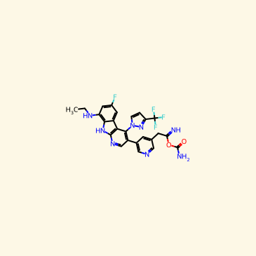 CCNc1cc(F)cc2c1[nH]c1ncc(-c3cncc(CC(=N)OC(N)=O)c3)c(-n3ccc(C(F)(F)F)n3)c12